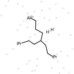 CC(C)CCC(CC[CH2][Al+2])CCC(C)C.[H-].[H-]